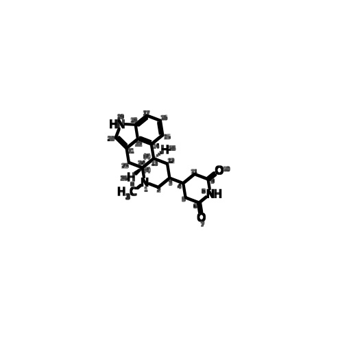 CN1CC(C2CC(=O)NC(=O)C2)C[C@@H]2c3cccc4[nH]cc(c34)C[C@H]21